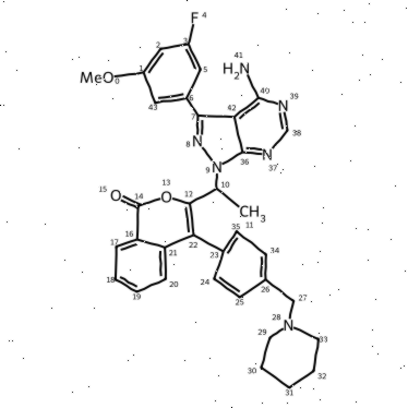 COc1cc(F)cc(-c2nn(C(C)c3oc(=O)c4ccccc4c3-c3ccc(CN4CCCCC4)cc3)c3ncnc(N)c23)c1